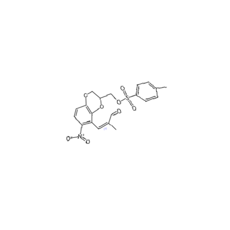 C/C(C=O)=C/c1c([N+](=O)[O-])ccc2c1OC(COS(=O)(=O)c1ccc(C)cc1)CO2